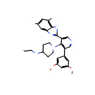 COc1cc(OC)cc(-c2cncc(-c3nc4cc(C)cc(C)c4[nH]3)c2N2CCC(NCCF)CC2)c1